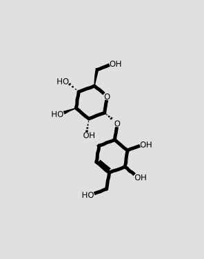 OCC1=C[CH]C(O[C@H]2O[C@H](CO)[C@@H](O)[C@H](O)[C@H]2O)C(O)C1O